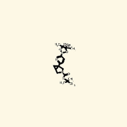 CC(C)(C)OC(=O)N1CC2CC2(c2ccc(B3OC(C)(C)C(C)(C)O3)cn2)C1